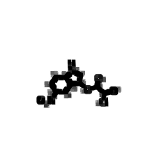 O=C(Cl)C(=O)Oc1c[nH]c2ccc([N+](=O)[O-])cc12